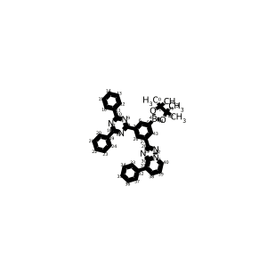 CC1(C)OB(c2cc(-c3nc(-c4ccccc4)nc(-c4ccccc4)n3)cc(-c3nc4c(-c5ccccc5)cccn4n3)c2)OC1(C)C